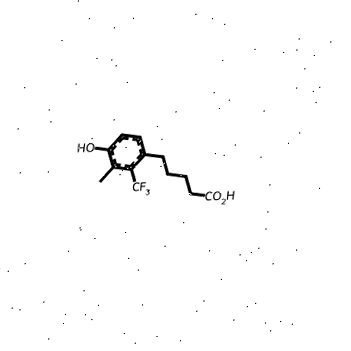 Cc1c(O)ccc(CCCCC(=O)O)c1C(F)(F)F